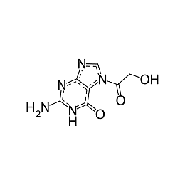 Nc1nc2ncn(C(=O)CO)c2c(=O)[nH]1